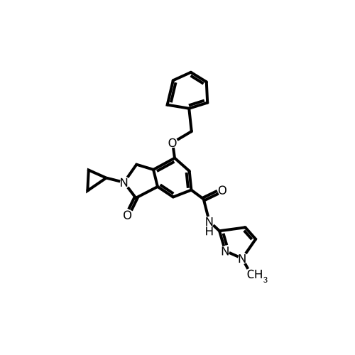 Cn1ccc(NC(=O)c2cc(OCc3ccccc3)c3c(c2)C(=O)N(C2CC2)C3)n1